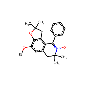 CCOc1cc2c(c3c1OC(C)(C)C3)C(c1ccccc1)=[N+]([O-])C(C)(C)C2